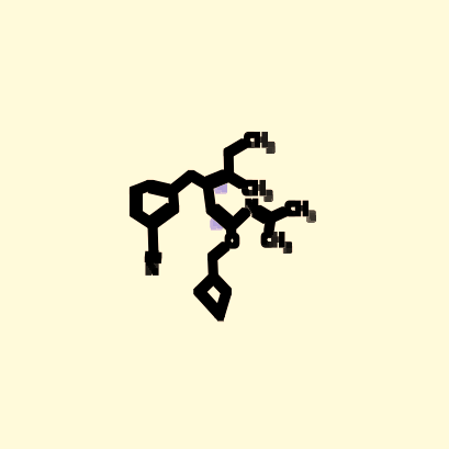 CC/C(C)=C(/C=C(\N=C(C)C)OCC1CCC1)Cc1cccc(C#N)c1